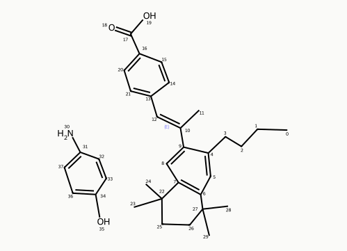 CCCCc1cc2c(cc1/C(C)=C/c1ccc(C(=O)O)cc1)C(C)(C)CCC2(C)C.Nc1ccc(O)cc1